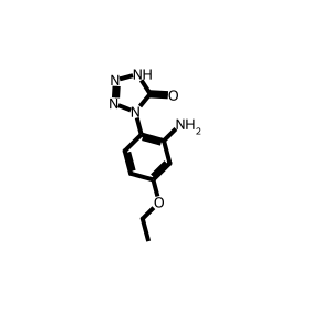 CCOc1ccc(-n2nn[nH]c2=O)c(N)c1